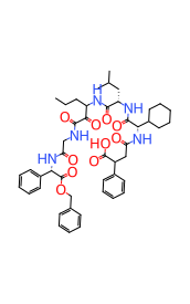 CCCC(NC(=O)[C@H](CC(C)C)NC(=O)[C@@H](NC(=O)CC(C(=O)O)c1ccccc1)C1CCCCC1)C(=O)C(=O)NCC(=O)N[C@H](C(=O)OCc1ccccc1)c1ccccc1